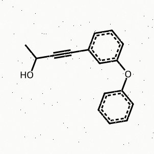 CC(O)C#Cc1cccc(Oc2ccccc2)c1